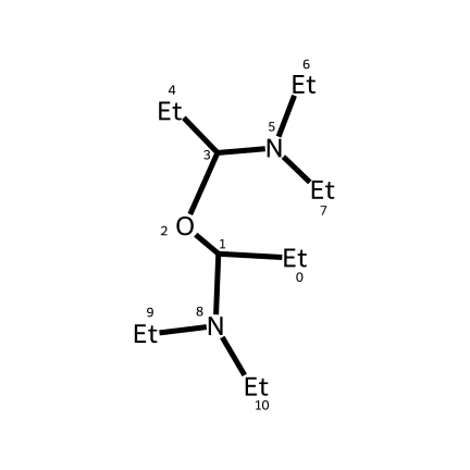 CCC(OC(CC)N(CC)CC)N(CC)CC